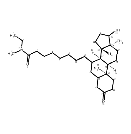 CCN(C)C(=O)CCCCCCCC1CC2CC(=O)CC[C@]2(C)[C@@H]2CC[C@]3(C)C(O)CC[C@H]3[C@H]12